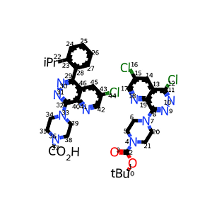 CC(C)(C)OC(=O)N1CCN(c2nnc(Cl)c3cc(Cl)cnc23)CC1.CC(C)c1ccccc1-c1nnc(N2CCN(C(=O)O)CC2)c2ncc(Cl)cc12